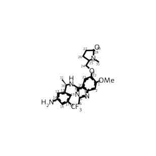 COc1cc2nc(C)nc(N[C@H](C)c3cc(N)cc(C(F)(F)F)c3)c2cc1OCC1CCC(=O)N1C